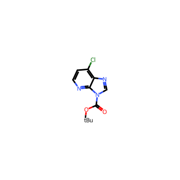 CC(C)(C)OC(=O)n1cnc2c(Cl)ccnc21